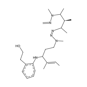 C=NN(C)C(C)[C@@H](C)C(C)/N=N\N(C)CCC(Nc1ccccc1CCO)/C(C)=C/C